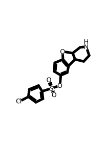 O=S(=O)(Oc1ccc2c(c1)C1CCNCC1O2)c1ccc(Cl)cc1